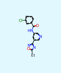 CCc1nc(-c2cncc(NC(=O)c3cccc(Cl)c3)c2)no1